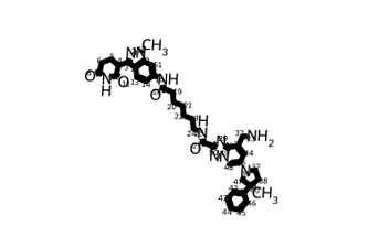 Cn1nc(C2CCC(=O)NC2=O)c2ccc(NC(=O)CCCCCCNC(=O)c3nc4c(CN)cc(N5CC[C@](C)(c6ccccc6)C5)cn4n3)cc21